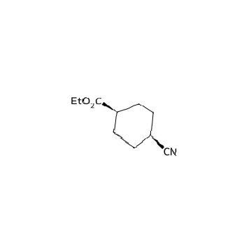 CCOC(=O)[C@H]1CC[C@@H](C#N)CC1